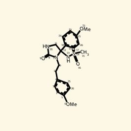 COc1ccc(CCN2C(=O)NCC2(NS(C)(=O)=O)c2ccc(OC)cc2)cc1